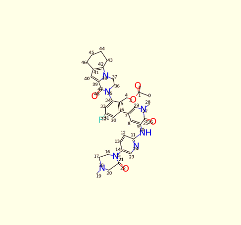 CC(=O)OCc1c(-c2cc(Nc3ccc(N4CCN(C)CC4=O)cn3)c(=O)n(C)c2)cc(F)cc1N1CCn2c(cc3c2CCCC3)C1=O